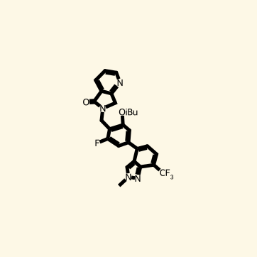 CC(C)COc1cc(-c2ccc(C(F)(F)F)c3nn(C)cc23)cc(F)c1CN1Cc2ncccc2C1=O